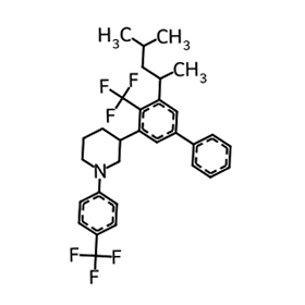 CC(C)CC(C)c1cc(-c2ccccc2)cc(C2CCCN(c3ccc(C(F)(F)F)cc3)C2)c1C(F)(F)F